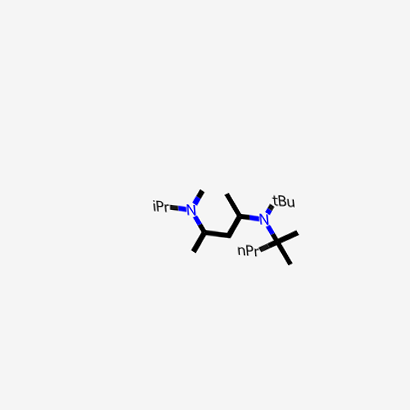 CCCC(C)(C)N(C(C)CC(C)N(C)C(C)C)C(C)(C)C